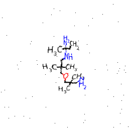 C=CC(C)(N)NCC(C)(C)COCC(C)(C)CN